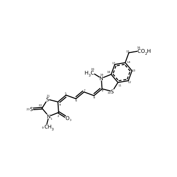 CN1C(=O)C(=CC=CC=C2Sc3ccc(CC(=O)O)cc3N2C)SC1=S